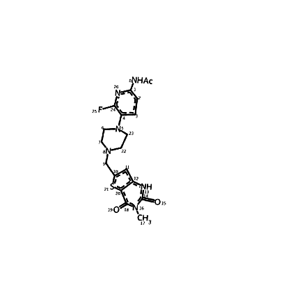 CC(=O)Nc1ccc(N2CCN(Cc3cc4[nH]c(=O)n(C)c(=O)c4s3)CC2)c(F)n1